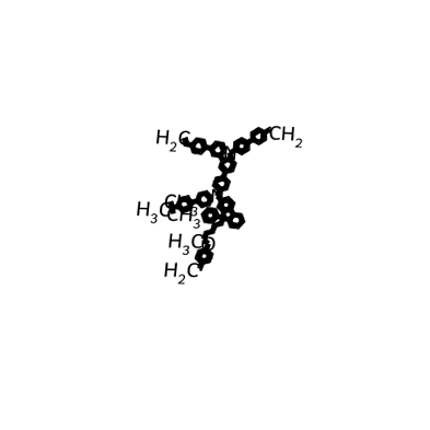 C=CC1=CCC(c2ccc(N3C4=CC=C(C5=CCC(C=C)C=C5)CC4C4C=C(C5=CC=C(N(C6=CCC(C7=CCC(C(C)(C)C)C=C7)CC6)c6ccc7c(c6)C(CCCCC(C)Oc6ccc(C=C)cc6)(c6ccccc6)C6C=CCCC76)CC5)C=CC43)cc2)C=C1